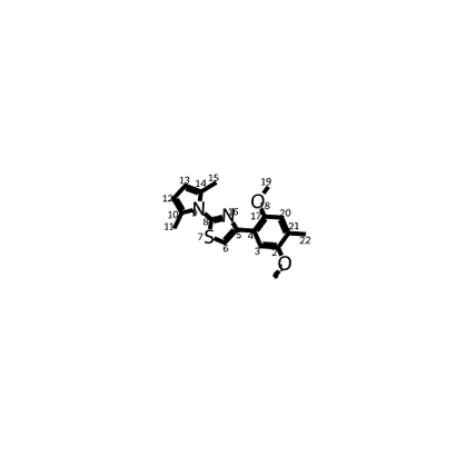 COc1cc(-c2csc(-n3c(C)ccc3C)n2)c(OC)cc1C